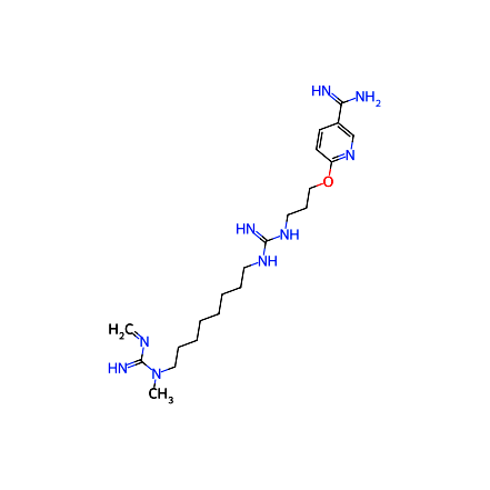 C=NC(=N)N(C)CCCCCCCCNC(=N)NCCCOc1ccc(C(=N)N)cn1